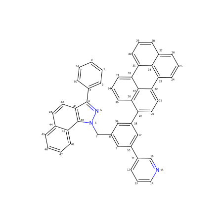 c1ccc(-c2nn(Cc3cc(-c4cccnc4)cc(-c4ccc5c6cccc7cccc(c8cccc4c85)c76)c3)c3c2ccc2ccccc23)cc1